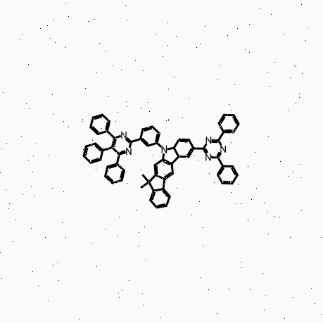 CC1(C)c2ccccc2-c2cc3c(cc21)N(c1cccc(-c2nc(-c4ccccc4)c(-c4ccccc4)c(-c4ccccc4)n2)c1)C1C=CC(c2nc(-c4ccccc4)nc(-c4ccccc4)n2)=CC31